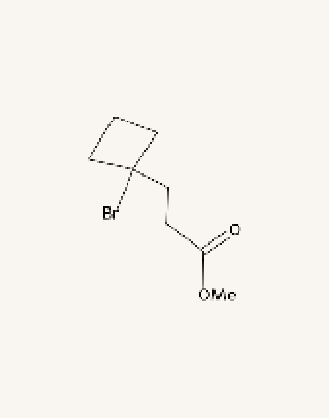 COC(=O)CCC1(Br)CCC1